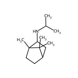 CC(C)NC1CC2CCC1(C)C2(C)C